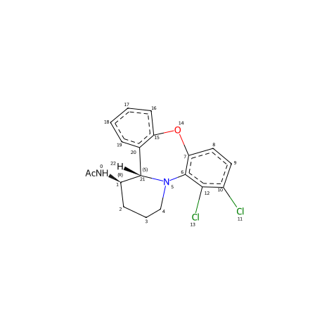 CC(=O)N[C@@H]1CCCN2c3c(ccc(Cl)c3Cl)Oc3ccccc3[C@@H]12